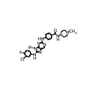 CC(C)n1c(Nc2ccc(F)c(Cl)c2)nc2cnc(Nc3ccc(C(=O)NN4CCN(C)CC4)cc3)nc21